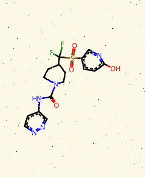 O=C(Nc1ccnnc1)N1CCC(C(F)(F)S(=O)(=O)c2ccc(O)nc2)CC1